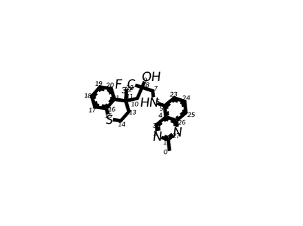 Cc1ncc2c(NCC(O)(CC3(C)CCSc4ccccc43)C(F)(F)F)cccc2n1